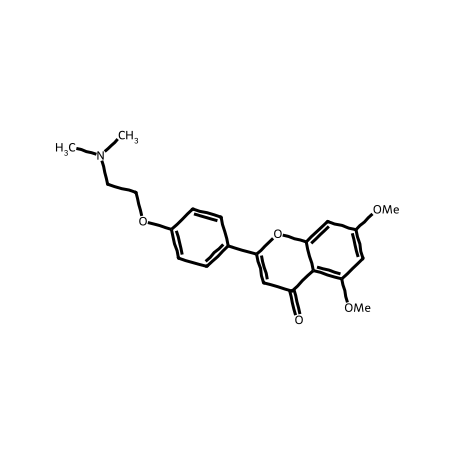 COc1cc(OC)c2c(=O)cc(-c3ccc(OCCN(C)C)cc3)oc2c1